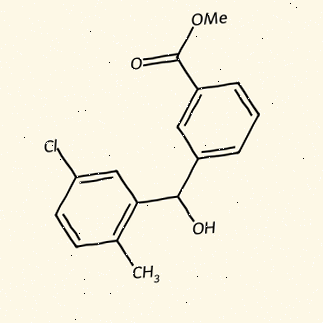 COC(=O)c1cccc(C(O)c2cc(Cl)ccc2C)c1